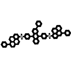 C[Si](C)(c1ccc(-c2c3ccccc3c(-c3ccc([Si](C)(C)c4ccc5cc(-c6ccccc6)c6cccc7ccc4c5c76)cc3)c3cc(-c4ccccc4)ccc23)cc1)c1ccc2c3c1C=CC1=CC=C(c4ccccc4)C(=CC2)C13